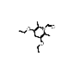 CCOC1=C(C)N(C=O)C(C)=C(OCC)C1